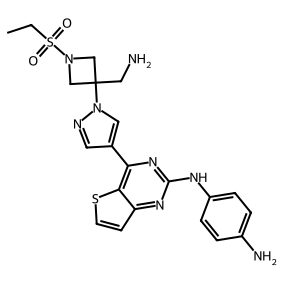 CCS(=O)(=O)N1CC(CN)(n2cc(-c3nc(Nc4ccc(N)cc4)nc4ccsc34)cn2)C1